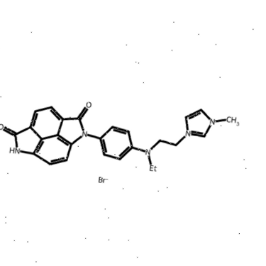 CCN(CC[n+]1ccn(C)c1)c1ccc(N2C(=O)c3ccc4c5c(ccc2c35)NC4=O)cc1.[Br-]